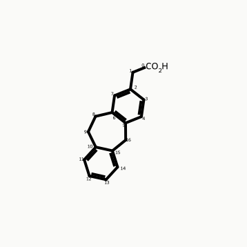 O=C(O)Cc1ccc2c(c1)CCc1ccccc1C2